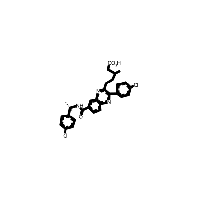 CC(CCc1nc2cc(C(=O)N[C@@H](C)c3ccc(Cl)cc3)ccc2nc1-c1ccc(Cl)cc1)CC(=O)O